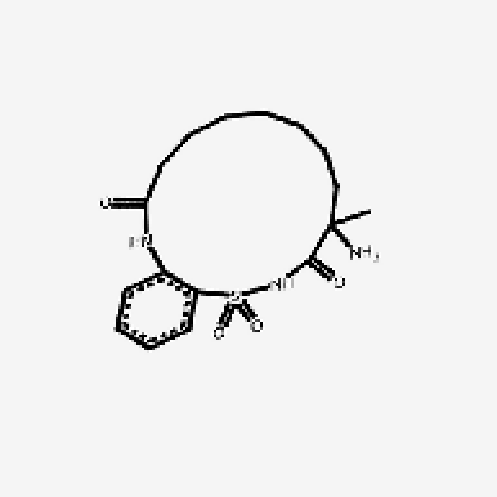 CC1(N)CCCCCCCC(=O)Nc2ccccc2S(=O)(=O)NC1=O